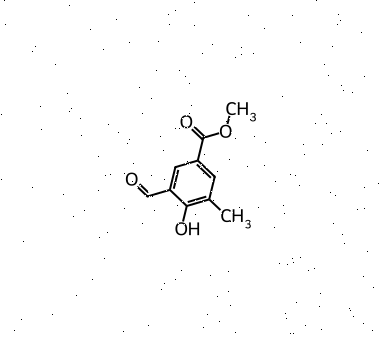 COC(=O)c1cc(C)c(O)c(C=O)c1